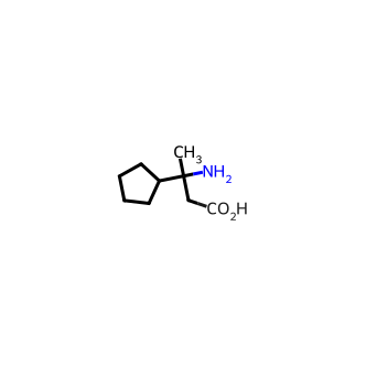 CC(N)(CC(=O)O)C1CCCC1